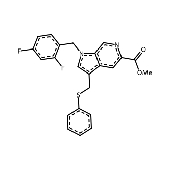 COC(=O)c1cc2c(CSc3ccccc3)cn(Cc3ccc(F)cc3F)c2cn1